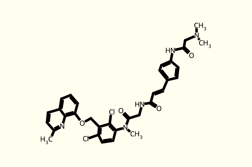 Cc1ccc2cccc(OCc3c(Cl)ccc(N(C)C(=O)CNC(=O)/C=C/c4ccc(NC(=O)CN(C)C)cc4)c3Cl)c2n1